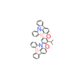 CC(C)c1c2c(cc3c1Oc1ccc4c5c1N3c1ccccc1B5c1ccccc1-4)B1c3ccccc3-n3c4ccccc4c4ccc(c1c43)O2